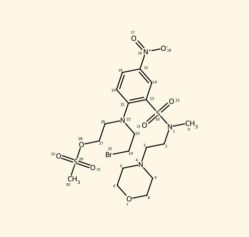 CN(CCN1CCOCC1)S(=O)(=O)c1cc([N+](=O)[O-])ccc1N(CCBr)CCOS(C)(=O)=O